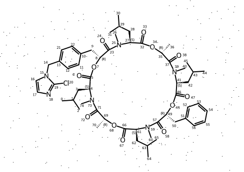 CC(C)C[C@H]1C(=O)O[C@H](Cc2ccc(Cn3ccnc3Cl)cc2)C(=O)N(C)[C@@H](CC(C)C)C(=O)O[C@H](C)C(=O)N(C)[C@@H](CC(C)C)C(=O)O[C@H](Cc2ccccc2)C(=O)N(C)[C@@H](CC(C)C)C(=O)O[C@H](C)C(=O)N1C